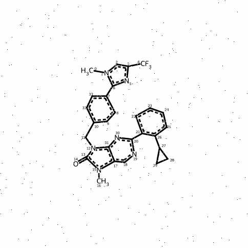 Cn1cc(C(F)(F)F)nc1-c1ccc(Cn2c(=O)n(C)c3cnc(-c4ccccc4C4CC4)nc32)cc1